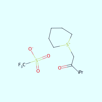 CC(C)C(=O)C[S+]1CCCCC1.O=S(=O)([O-])C(F)(F)F